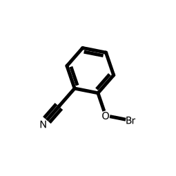 N#Cc1ccccc1OBr